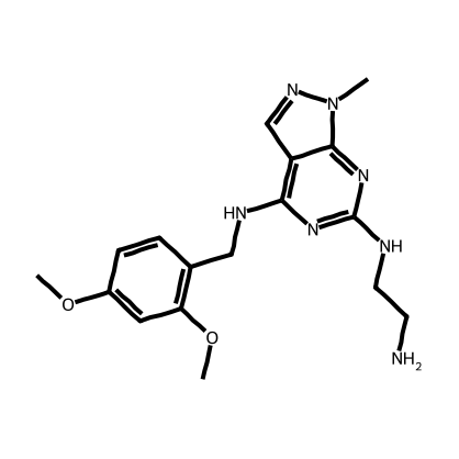 COc1ccc(CNc2nc(NCCN)nc3c2cnn3C)c(OC)c1